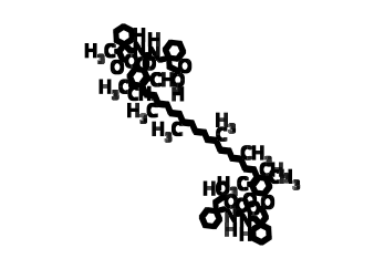 CC1=C(/C=C/C(C)=C/C=C/C(C)=C/C=C/C=C(C)/C=C/C=C(C)/C=C/C2=C(C)C(=O)C(OC(=O)C(C)C3(CNC(=O)NCC4(CC(=O)O)CCCCC4)CCCCC3)CC2(C)C)C(C)(C)CC(OC(=O)CC2(CNC(=O)NCC3(CC(=O)O)CCCCC3)CCCCC2)C1=O